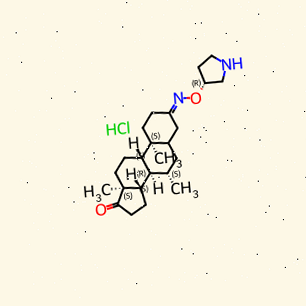 C[C@H]1CC2CC(=NO[C@@H]3CCNC3)CC[C@]2(C)[C@H]2CC[C@]3(C)C(=O)CC[C@H]3[C@H]12.Cl